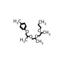 CCCOC(C)COC(C)COC(C)COc1ccc(C)cc1